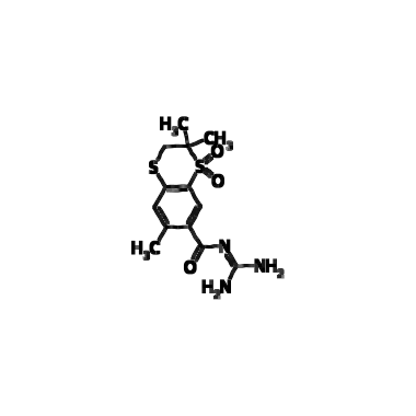 Cc1cc2c(cc1C(=O)N=C(N)N)S(=O)(=O)C(C)(C)CS2